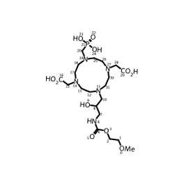 COCCOC(=O)NCC(O)CN1CCN(CC(=O)O)CCN(CP(=O)(O)O)CCN(CC(=O)O)CC1